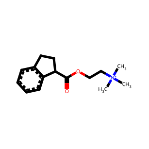 C[N+](C)(C)CCOC(=O)C1CCc2ccccc21